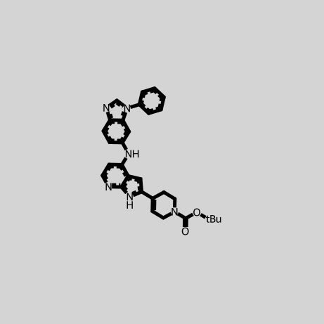 CC(C)(C)OC(=O)N1CC=C(c2cc3c(Nc4ccc5ncn(-c6ccccc6)c5c4)ccnc3[nH]2)CC1